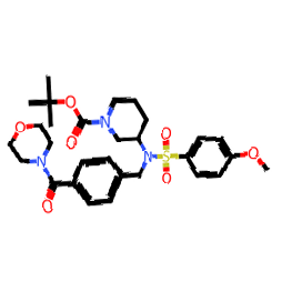 COc1ccc(S(=O)(=O)N(Cc2ccc(C(=O)N3CCOCC3)cc2)C2CCCN(C(=O)OC(C)(C)C)C2)cc1